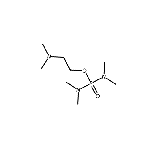 CN(C)CCOP(=O)(N(C)C)N(C)C